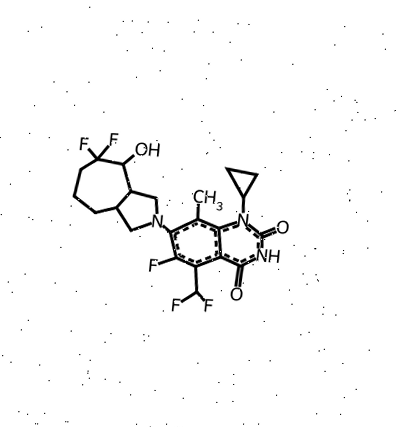 Cc1c(N2CC3CCCC(F)(F)C(O)C3C2)c(F)c(C(F)F)c2c(=O)[nH]c(=O)n(C3CC3)c12